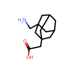 NCC12CC3CC(C1)CC(CC(=O)O)(C3)C2